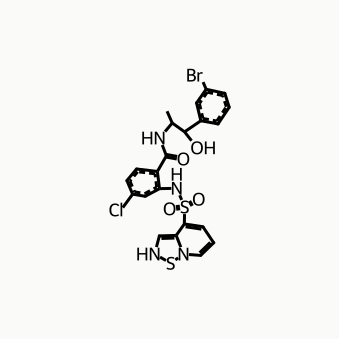 CC(NC(=O)c1ccc(Cl)cc1NS(=O)(=O)C1=CC=CN2SNC=C12)C(O)c1cccc(Br)c1